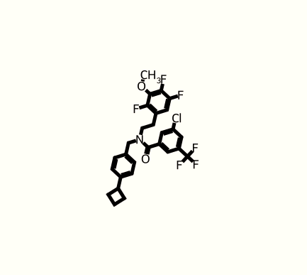 COc1c(F)c(F)cc(CCN(Cc2ccc(C3CCC3)cc2)C(=O)c2cc(Cl)cc(C(F)(F)F)c2)c1F